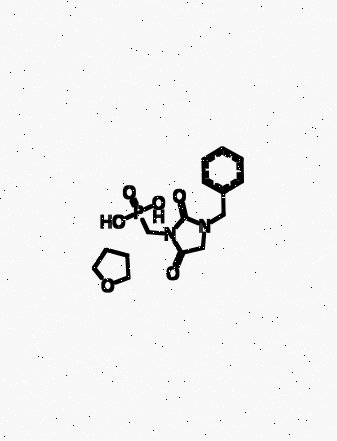 C1CCOC1.O=C1CN(Cc2ccccc2)C(=O)N1CP(=O)(O)O